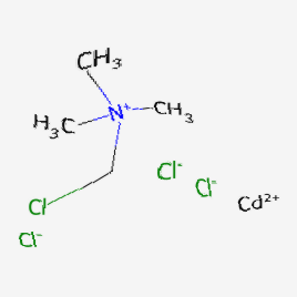 C[N+](C)(C)CCl.[Cd+2].[Cl-].[Cl-].[Cl-]